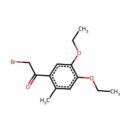 CCOc1cc(C)c(C(=O)CBr)cc1OCC